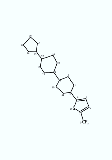 FC(F)(F)c1ccc(C2CCC(C3CCC(C4CCCC4)CC3)CC2)s1